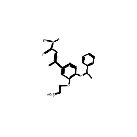 CCN(CC)C(=O)/C=C(\C)c1ccc(OC(C)c2ccccc2)c(OCCC(=O)O)c1